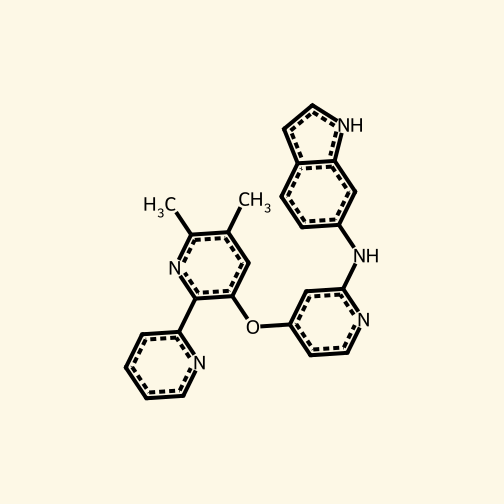 Cc1cc(Oc2ccnc(Nc3ccc4cc[nH]c4c3)c2)c(-c2ccccn2)nc1C